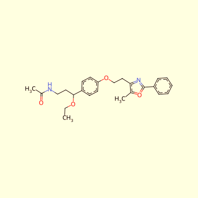 CCOC(CCNC(C)=O)c1ccc(OCCc2nc(-c3ccccc3)oc2C)cc1